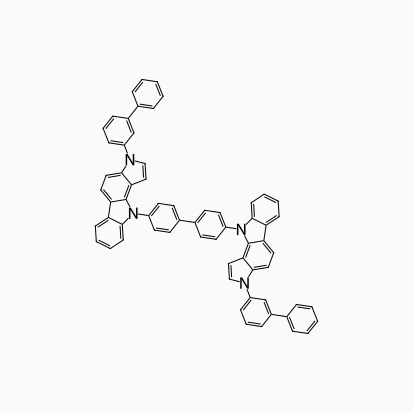 c1ccc(-c2cccc(-n3ccc4c3ccc3c5ccccc5n(-c5ccc(-c6ccc(-n7c8ccccc8c8ccc9c(ccn9-c9cccc(-c%10ccccc%10)c9)c87)cc6)cc5)c34)c2)cc1